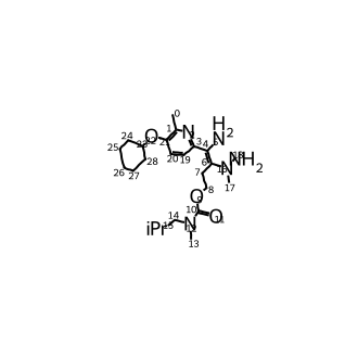 Cc1nc(/C(N)=C(\CCOC(=O)N(C)CC(C)C)N(C)N)ccc1OC1CCCCC1